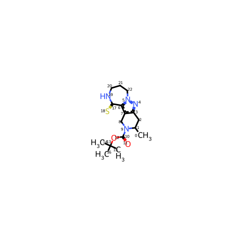 CC1Cc2nn3c(c2CN1C(=O)OC(C)(C)C)C(=S)NCCC3